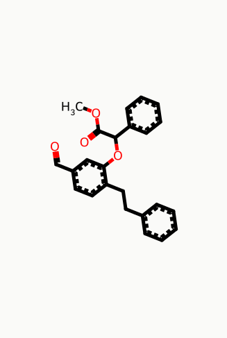 COC(=O)C(Oc1cc(C=O)ccc1CCc1ccccc1)c1ccccc1